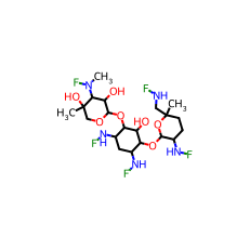 CN(F)C1C(O)C(OC2C(NF)CC(NF)C(OC3OC(C)(CNF)CCC3NF)C2O)OCC1(C)O